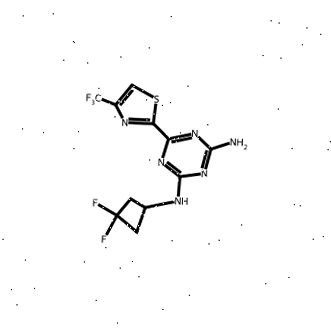 Nc1nc(NC2CC(F)(F)C2)nc(-c2nc(C(F)(F)F)cs2)n1